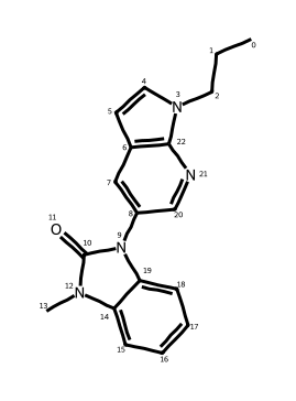 CCCn1ccc2cc(-n3c(=O)n(C)c4ccccc43)cnc21